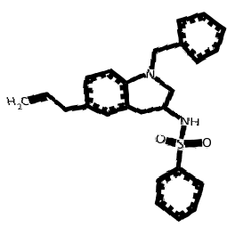 C=CCc1ccc2c(c1)CC(NS(=O)(=O)c1ccccc1)CN2Cc1ccccc1